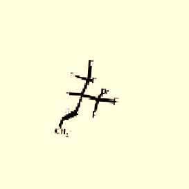 [CH2]/C=C/C(F)(C(F)(F)F)C(F)(F)Br